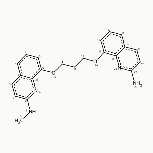 CNc1ccc2cccc(OCCCOc3cccc4ccc(N)nc34)c2n1